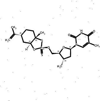 C=C(C)[C@@H]1CC[C@]2(C)S[P@@](=S)(OC[C@H]3O[C@@H](n4cc(C)c(=O)[nH]c4=O)C[C@@H]3C)O[C@H]2C1